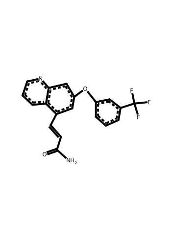 NC(=O)/C=C/c1cc(Oc2cccc(C(F)(F)F)c2)cc2ncccc12